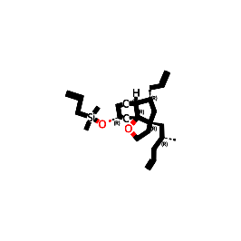 C=CC[C@@H](C)C[C@@]12CCO[C@@]13C[C@H](O[Si](C)(C)CC=C)CC[C@@H]3[C@H](CC=C)C2